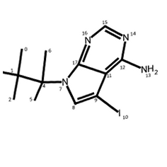 CC(C)(C)C(C)(C)n1cc(I)c2c(N)ncnc21